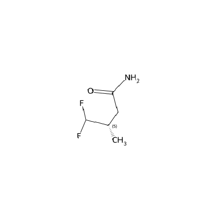 C[C@@H](CC(N)=O)C(F)F